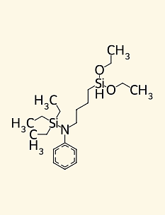 CCO[SiH](CCCCN(c1ccccc1)[Si](CC)(CC)CC)OCC